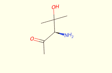 CC(=O)[C@H](N)C(C)(C)O